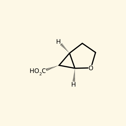 O=C(O)[C@@H]1[C@H]2CCO[C@H]21